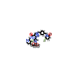 COc1ccnc(CNC(=O)c2cn(Cc3ccc(Cn4cc(F)ccc4=O)cc3)nc2C2CN(C(=O)OC(C)(C)C)C2)c1F